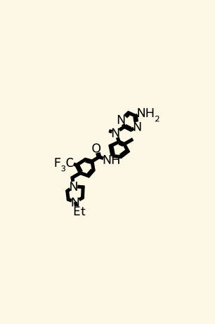 CCN1CCN(Cc2ccc(C(=O)Nc3ccc(C)c(N(C)c4cnc(N)cn4)c3)cc2C(F)(F)F)CC1